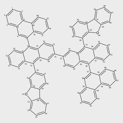 c1ccc2c(c1)cc(-c1c3ccccc3c(-c3ccc4c(c3)oc3ccccc34)c3cc(-c4ccc5c(-c6cc7ccccc7c7ccccc67)c6ccccc6c(-c6cccc7c6oc6ccccc67)c5c4)ccc13)c1ccccc12